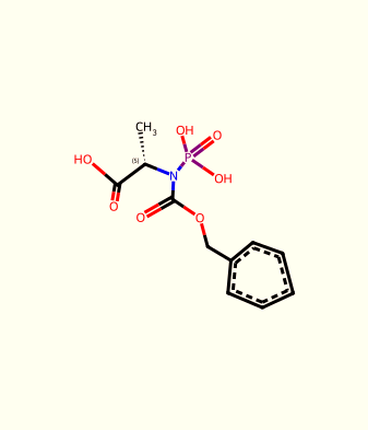 C[C@@H](C(=O)O)N(C(=O)OCc1ccccc1)P(=O)(O)O